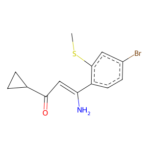 CSc1cc(Br)ccc1C(N)=CC(=O)C1CC1